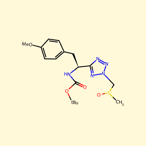 COc1ccc(C[C@H](NC(=O)OC(C)(C)C)c2nnn(C[S+](C)[O-])n2)cc1